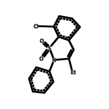 CCC1=Cc2cccc(Cl)c2S(=O)(=O)N1c1ccccc1